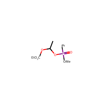 CCOC(=O)OC(C)OP(=O)(OC)C(C)C